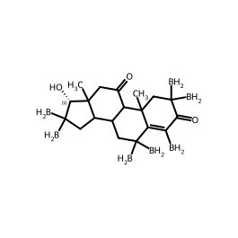 BC1=C2C(B)(B)CC3C(C(=O)CC4(C)C3CC(B)(B)[C@@H]4O)C2(C)CC(B)(B)C1=O